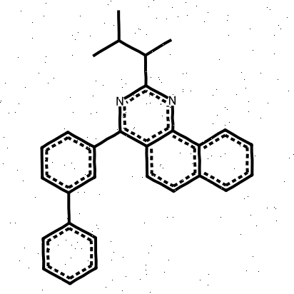 CC(C)C(C)c1nc(-c2cccc(-c3ccccc3)c2)c2ccc3ccccc3c2n1